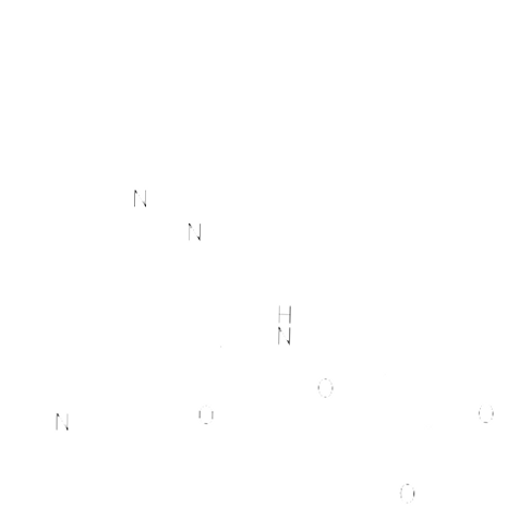 CCCCCn1ncc(C#N)c1C(=O)NOCC(=O)OC